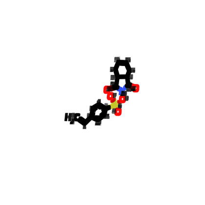 C=Cc1ccc(S(=O)(=O)ON2C(=O)C3CC=CCC3C2=O)cc1